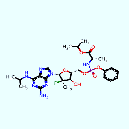 CC(C)Nc1nc(N)nc2c1ncn2[C@@H]1O[C@H](CO[P@](=O)(N[C@@H](C)C(=O)OC(C)C)Oc2ccccc2)[C@@H](O)[C@@]1(C)F